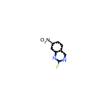 O=[N+]([O-])c1ccc2cnc(F)nc2c1